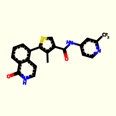 Cc1c(C(=O)Nc2ccnc(C(F)(F)F)c2)csc1-c1cccc2c(=O)[nH]ccc12